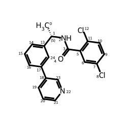 C[C@H](NC(=O)c1cc(Cl)ccc1Cl)c1cccc(-c2cccnc2)c1